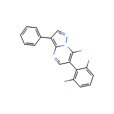 Nc1c(-c2c(Cl)cccc2Cl)cnc2c(-c3ccccc3)cnn12